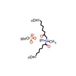 CCCCCCCCCCCCCCCC(=O)C[N+](C)(C(=O)CCCCCCCCCCCCCCC)C(C)C.COS(=O)(=O)[O-]